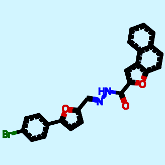 O=C(N/N=C/c1ccc(-c2ccc(Br)cc2)o1)c1cc2c(ccc3ccccc32)o1